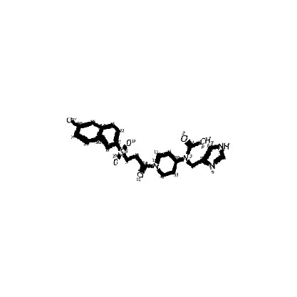 CC(=O)N(Cc1c[nH]cn1)C1CCN(C(=O)CCS(=O)(=O)c2ccc3cc(Cl)ccc3c2)CC1